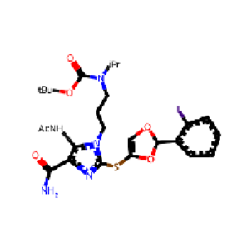 CC(=O)Nc1c(C(N)=O)nc(SC2=COC(c3ccccc3I)O2)n1CCCN(C(=O)OC(C)(C)C)C(C)C